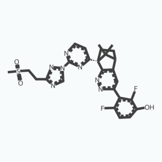 CC1(C)C2CC[C@]1(c1ccnc(-n3cnc(CCS(C)(=O)=O)n3)n1)c1nnc(-c3c(F)ccc(O)c3F)cc12